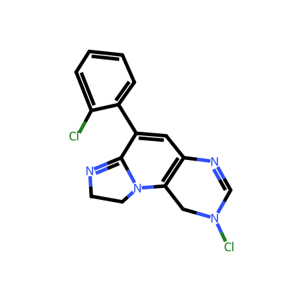 Clc1ccccc1C1=CC2=C(CN(Cl)C=N2)N2CCN=C12